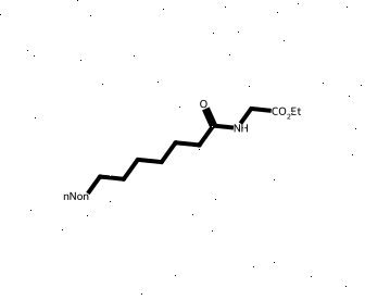 CCCCCCCCCCCCCCCC(=O)NCC(=O)OCC